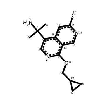 CC(C)(N)c1cnc(OCC2CC2)c2cnc(Cl)cc12